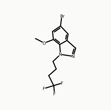 COc1cc(Br)cc2cnn(CCCC(F)(F)F)c12